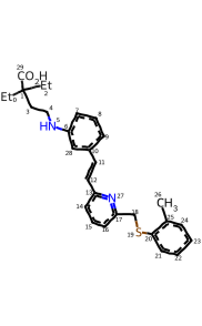 CCC(CC)(CCNc1cccc(C=Cc2cccc(CSc3ccccc3C)n2)c1)C(=O)O